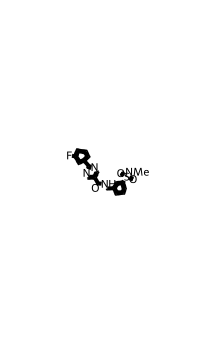 CNS(=O)(=O)c1cccc(CNC(=O)c2cnc(-c3cccc(F)c3)nc2)c1